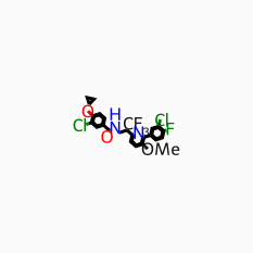 COc1ccc(C(CNC(=O)c2ccc(OC3CC3)c(Cl)c2)C(F)(F)F)nc1-c1ccc(F)c(Cl)c1